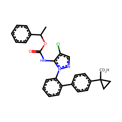 CC(OC(=O)Nc1c(Cl)cnn1-c1ccccc1-c1ccc(C2(C(=O)O)CC2)cc1)c1ccccc1